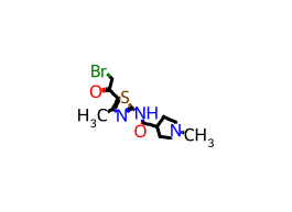 Cc1nc(NC(=O)C2CCN(C)CC2)sc1C(=O)CBr